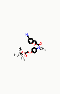 CN(C(=O)c1cc2cc(C#N)ccc2o1)c1ccc(OCC(=O)OC(C)(C)C)cc1